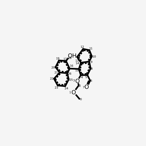 COCOc1c(C=O)cc2ccccc2c1-c1c(O)ccc2ccccc12